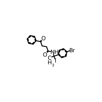 CC(I)(NC(=O)CCC(=O)c1ccccc1)c1ccc(Br)cc1